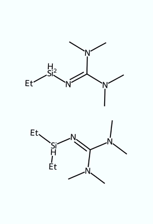 CC[SiH2]N=C(N(C)C)N(C)C.CC[SiH](CC)N=C(N(C)C)N(C)C